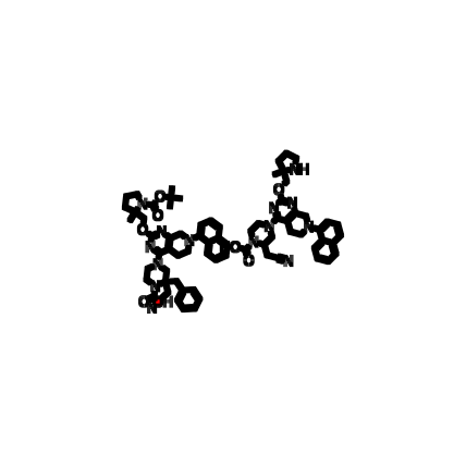 CC(C)(C)OC(=O)N1CCCC1(C)COc1nc2c(c(N3CCN(C(=O)O)C(CC#N)(Cc4ccccc4)C3)n1)CCN(c1cccc3ccccc13)C2.CC1(COc2nc3c(c(N4CCN(C(=O)O)C(CC#N)C4)n2)CCN(c2cccc4ccccc24)C3)CCCN1